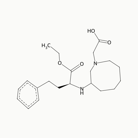 CCOC(=O)[C@H](CCc1ccccc1)NC1CCCCCN(CC(=O)O)C1